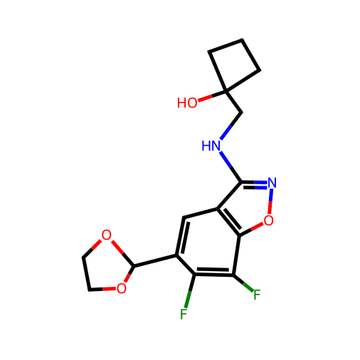 OC1(CNc2noc3c(F)c(F)c(C4OCCO4)cc23)CCC1